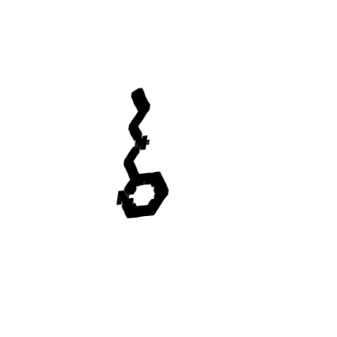 C=CC[N]Cc1ccccn1